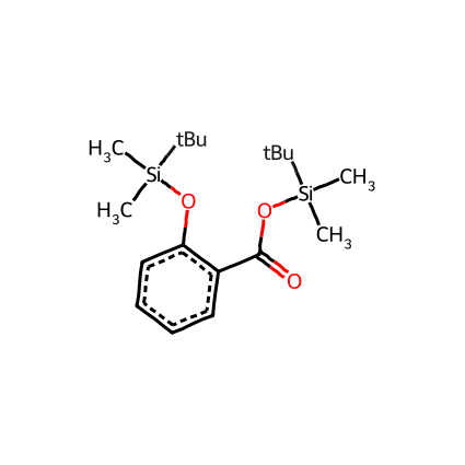 CC(C)(C)[Si](C)(C)OC(=O)c1ccccc1O[Si](C)(C)C(C)(C)C